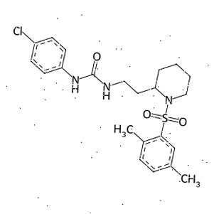 Cc1ccc(C)c(S(=O)(=O)N2CCCCC2CCNC(=O)Nc2ccc(Cl)cc2)c1